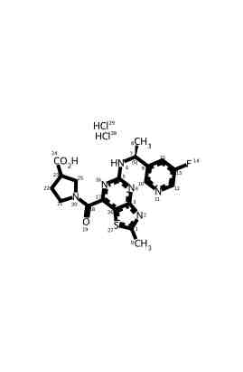 Cc1nc2nc(N[C@@H](C)c3cncc(F)c3)nc(C(=O)N3CCC(C(=O)O)C3)c2s1.Cl.Cl